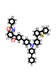 c1ccc(-c2ccc(N(c3ccc(-c4ccc5c(c4)oc4ccc6oc(-c7ccccc7)nc6c45)cc3)c3cccc(-c4cccc5c4sc4ccccc45)c3)cc2)cc1